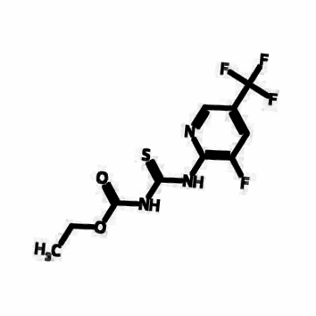 CCOC(=O)NC(=S)Nc1ncc(C(F)(F)F)cc1F